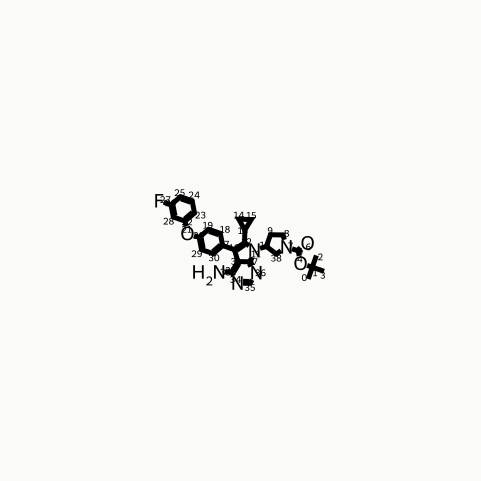 CC(C)(C)OC(=O)N1CCC(n2c(C3CC3)c(-c3ccc(Oc4cccc(F)c4)cc3)c3c(N)ncnc32)C1